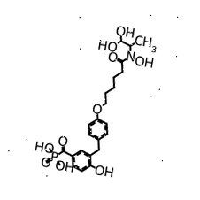 CC(C(O)O)N(O)C(=O)CCCCCOc1ccc(Cc2cc(C(=O)P(=O)(O)O)ccc2O)cc1